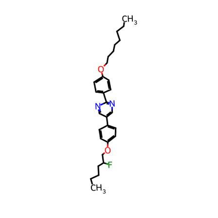 CCCCCCCCOc1ccc(-c2ncc(-c3ccc(OCC(F)CCCC)cc3)cn2)cc1